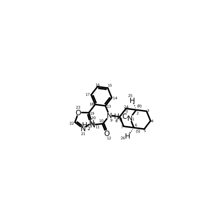 CN1[C@@H]2CCC[C@H]1C[C@@H](N(C(N)=O)c1ccccc1-c1nnco1)C2